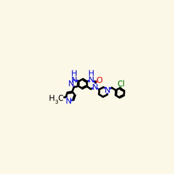 Cc1cc(-c2n[nH]c3cc4c(cc23)CN([C@@H]2CCCN(Cc3ccccc3Cl)C2)C(=O)N4)ccn1